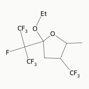 CCOC1(C(F)(C(F)(F)F)C(F)(F)F)CC(C(F)(F)F)C(C)O1